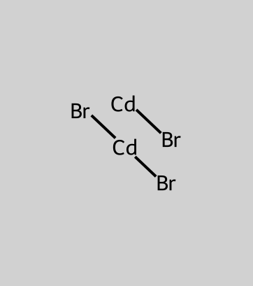 [Br][Cd].[Br][Cd][Br]